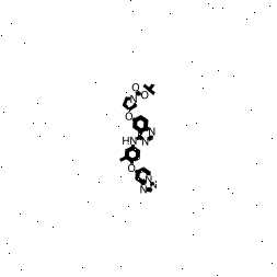 Cc1cc(Nc2ncnc3ccc(O[C@@H]4CCN(C(=O)OC(C)(C)C)C4)cc23)ccc1Oc1ccn2ncnc2c1